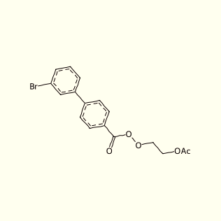 CC(=O)OCCOOC(=O)c1ccc(-c2cccc(Br)c2)cc1